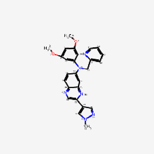 COc1cc(OC)cc(N(Cc2ccccn2)c2ccc3ncc(-c4cnn(C)c4)nc3c2)c1